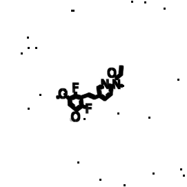 C=CC(=O)N(C)c1ccc(/C=C/c2c(F)c(OC)cc(OC)c2F)cn1